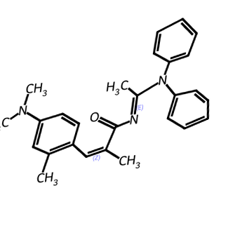 C/C(=C/c1ccc(N(C)C)cc1C)C(=O)/N=C(\C)N(c1ccccc1)c1ccccc1